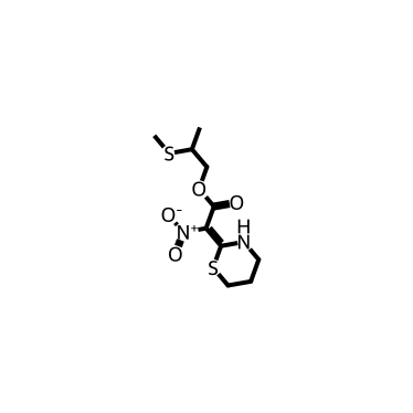 CSC(C)COC(=O)C(=C1NCCCS1)[N+](=O)[O-]